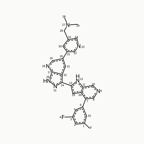 Cc1cc(F)cc(-c2cncc3[nH]c(-c4n[nH]c5ncc(-c6cncc(CN(C)C)c6)cc45)cc23)c1